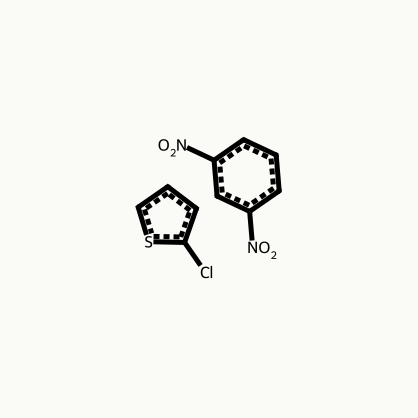 Clc1cccs1.O=[N+]([O-])c1cccc([N+](=O)[O-])c1